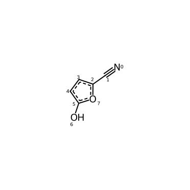 N#Cc1ccc(O)o1